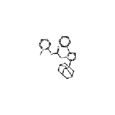 C[n+]1ccccc1OC(=O)Cn1c(-c2ccccc2)ccc1C12CC3CC(CC(C3)C1)C2